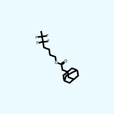 CC(F)(F)C(F)(F)CCCCOC(=O)CC12CC3CC(CC(C3)C1)C2